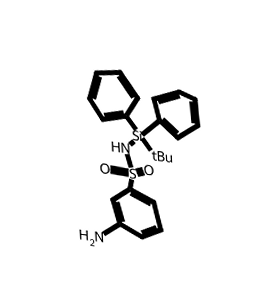 CC(C)(C)[Si](NS(=O)(=O)c1cccc(N)c1)(c1ccccc1)c1ccccc1